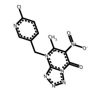 Cc1c([N+](=O)[O-])c(=O)n2nnnc2n1Cc1ccc(Cl)nc1